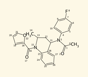 CC(=O)N(c1ccc(F)cc1)C1CC(C)N(C(=O)c2ccco2)c2ccccc21